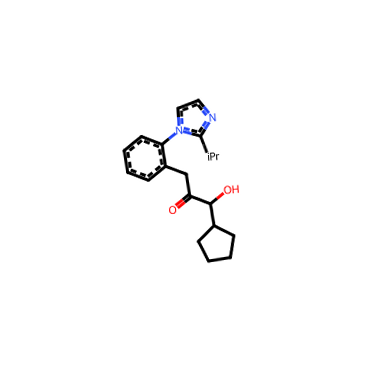 CC(C)c1nccn1-c1ccccc1CC(=O)C(O)C1CCCC1